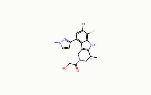 C[C@H]1CN(C(=O)CO)Cc2c1[nH]c1c(F)c(Cl)cc(-c3ccn(C)n3)c21